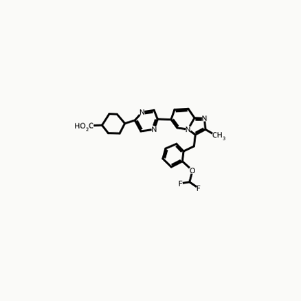 Cc1nc2ccc(-c3cnc(C4CCC(C(=O)O)CC4)cn3)cn2c1Cc1ccccc1OC(F)F